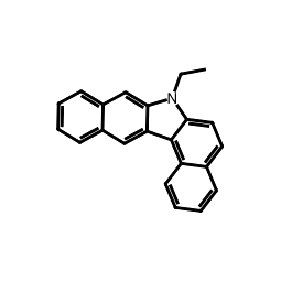 CCn1c2cc3ccccc3cc2c2c3ccccc3ccc21